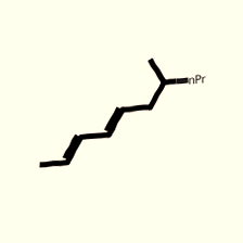 CC=CC=CCC(C)CCC